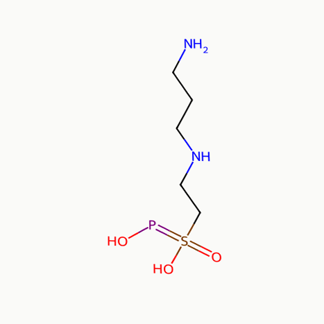 NCCCNCCS(=O)(O)=PO